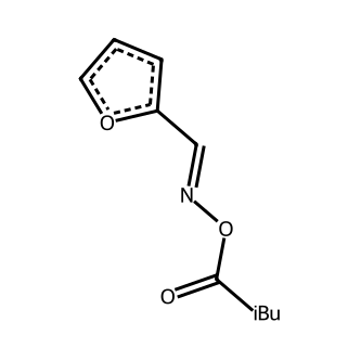 CCC(C)C(=O)ON=Cc1ccco1